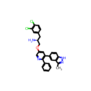 Cc1n[nH]c2ccc(-c3cc(OC[C@@H](N)Cc4ccc(Cl)c(Cl)c4)cnc3-c3ccccc3)cc12